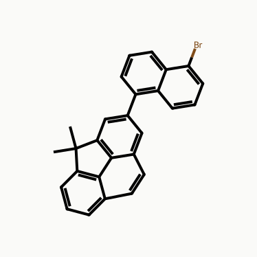 CC1(C)c2cccc3ccc4cc(-c5cccc6c(Br)cccc56)cc1c4c23